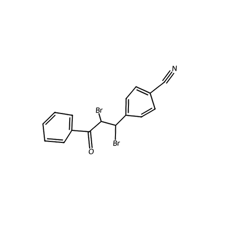 N#Cc1ccc(C(Br)C(Br)C(=O)c2ccccc2)cc1